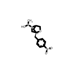 CB(O)N1C[C@]2(Cc3ccc([N+](=O)[O-])cc3)CC1CO2